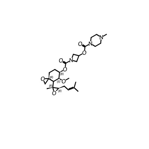 CO[C@H]1C([C@@]2(C)O[C@@H]2CC=C(C)C)[C@]2(CC[C@H]1OC(=O)N1CC(OC(=O)N3CCN(C)CC3)C1)CO2